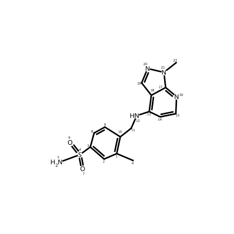 Cc1cc(S(N)(=O)=O)ccc1CNc1ccnc2c1cnn2C